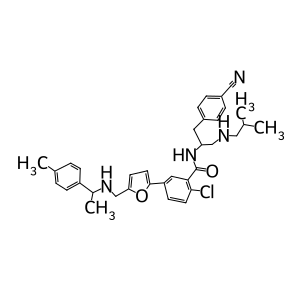 Cc1ccc(C(C)NCc2ccc(-c3ccc(Cl)c(C(=O)NC(CNCC(C)C)Cc4ccc(C#N)cc4)c3)o2)cc1